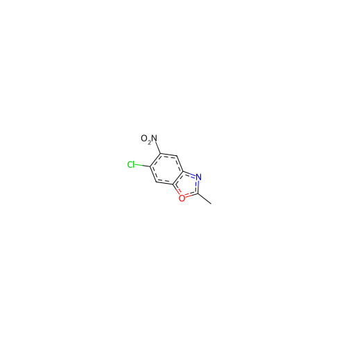 Cc1nc2cc([N+](=O)[O-])c(Cl)cc2o1